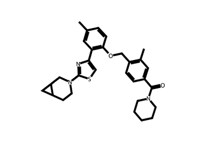 Cc1ccc(OCc2ccc(C(=O)N3CCCCC3)cc2C)c(-c2csc(N3CCC4CC4C3)n2)c1